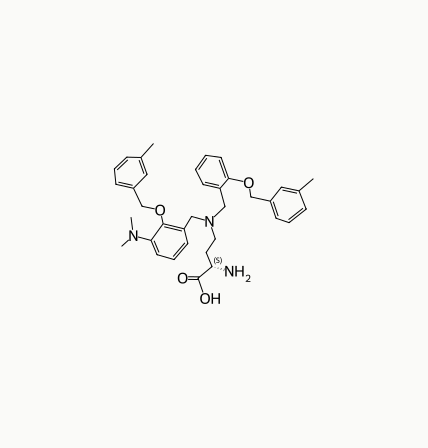 Cc1cccc(COc2ccccc2CN(CC[C@H](N)C(=O)O)Cc2cccc(N(C)C)c2OCc2cccc(C)c2)c1